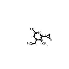 OCc1cc(Cl)nc(C2CC2)c1C(F)(F)F